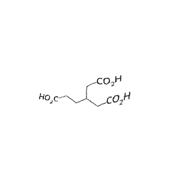 O=C(O)CCC(CC(=O)O)CC(=O)O